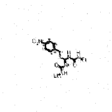 CCNC(=O)/N=C(/NC(=O)NCC)SCc1ccc([N+](=O)[O-])cc1